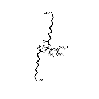 CCCCCCCCCCCCCCCCCC(=O)OC(C)(OC(=O)CCCCCCCCCCCCCCCCC)N(C)C.COOS(=O)(=O)O